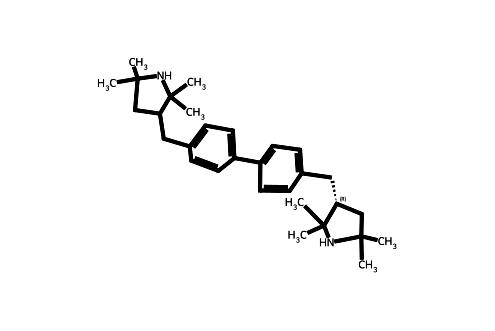 CC1(C)CC(Cc2ccc(-c3ccc(C[C@@H]4CC(C)(C)NC4(C)C)cc3)cc2)C(C)(C)N1